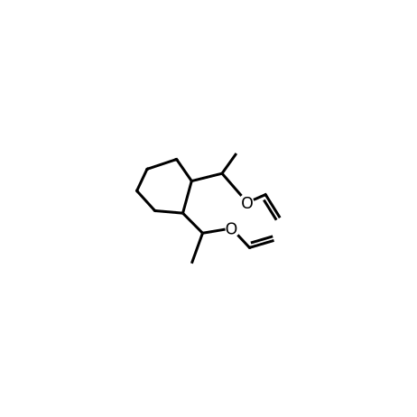 C=COC(C)C1CCCCC1C(C)OC=C